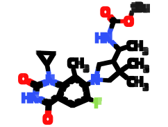 Cc1c(N2CC(C(C)NC(=O)OC(C)(C)C)C(C)(C)C2)c(F)cc2c(=O)[nH]c(=O)n(C3CC3)c12